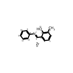 Cc1cccc(C=Nc2ccccc2)c1O.[Zr]